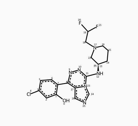 Oc1cc(Cl)ccc1-c1nnc(N[C@@H]2CCCN(CC(F)F)C2)n2cncc12